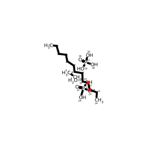 CC.CCCCCCCCCCCCC.O.O=P(O)(O)O.O=P(O)(O)O